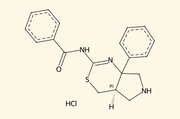 Cl.O=C(NC1=NC2(c3ccccc3)CNC[C@H]2CS1)c1ccccc1